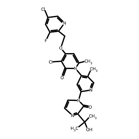 Cc1cnc(-n2ccnc(C(C)(C)O)c2=O)cc1-n1c(C)cc(OCc2ncc(Cl)cc2F)c(Cl)c1=O